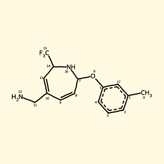 Cc1cccc(OC2C=CC(CN)=CC(C(F)(F)F)N2)c1